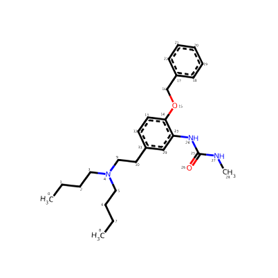 CCCCN(CCCC)CCc1ccc(OCc2ccccc2)c(NC(=O)NC)c1